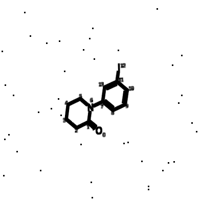 O=C1CCCCN1c1cccc(I)c1